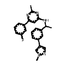 Cc1nc(NC(C)c2cccc(-c3cnn(C)c3)c2)cc(-c2cccc(F)c2)n1